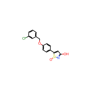 [O-][s+]1nc(O)cc1-c1ccc(OCc2cccc(Cl)c2)cc1